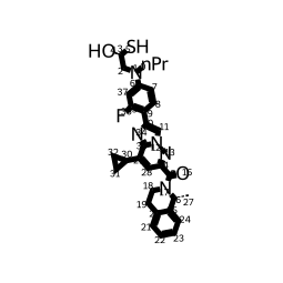 CCCN(C[C@H](O)S)c1ccc(-c2cn3nc(C(=O)N4CCc5ccccc5[C@H]4C)cc(C4CC4)c3n2)c(F)c1